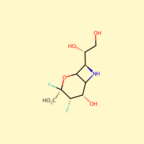 O=C(O)[C@]1(F)OC2C(N[C@@H]2[C@H](O)CO)[C@H](O)[C@@H]1F